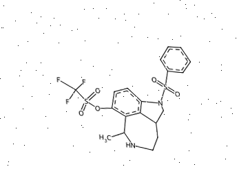 CC1NCCC2CN(S(=O)(=O)c3ccccc3)c3ccc(OS(=O)(=O)C(F)(F)F)c1c32